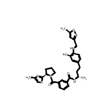 Cc1csc([C@H]2CCCN2C(=O)c2cccc(C(=O)N[C@@H](C)CCc3ccc(NCc4cc(C)on4)c(O)c3)c2)n1